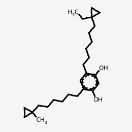 CCC1(CCCCCCc2cc(CCCCCCC3(C)CC3)c(O)cc2O)CC1